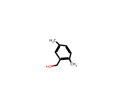 [CH2]c1ccc([CH2])c(CO)c1